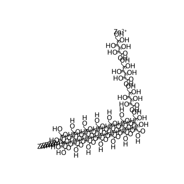 O=C(O)[C@H](O)[C@@H](O)[C@H](O)[C@H](O)CO.O=C(O)[C@H](O)[C@@H](O)[C@H](O)[C@H](O)CO.O=C(O)[C@H](O)[C@@H](O)[C@H](O)[C@H](O)CO.O=C(O)[C@H](O)[C@@H](O)[C@H](O)[C@H](O)CO.O=C(O)[C@H](O)[C@@H](O)[C@H](O)[C@H](O)CO.O=C(O)[C@H](O)[C@@H](O)[C@H](O)[C@H](O)CO.O=C(O)[C@H](O)[C@@H](O)[C@H](O)[C@H](O)CO.O=C(O)[C@H](O)[C@@H](O)[C@H](O)[C@H](O)CO.O=C(O)[C@H](O)[C@@H](O)[C@H](O)[C@H](O)CO.O=C(O)[C@H](O)[C@@H](O)[C@H](O)[C@H](O)CO.[Zn+2].[Zn+2].[Zn+2].[Zn+2].[Zn+2].[Zn+2].[Zn+2].[Zn+2]